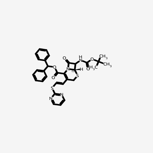 CC(C)(C)OC(=O)NC1C(=O)N2C(C(=O)OC(c3ccccc3)c3ccccc3)=C(C=CSc3ncccn3)CS[C@@H]12